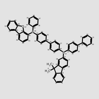 CC1(C)c2ccccc2-c2ccc(N(c3ccc(-c4ccccc4)cc3)c3ccc(-c4ccc(N(c5ccccc5)c5cccc6c5oc5ccccc56)cc4)cc3)cc21